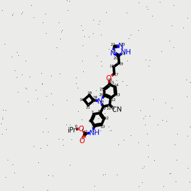 CC(C)OC(=O)Nc1ccc(C2C(C#N)c3ccc(OCCCc4ncn[nH]4)cc3N2C2CCC2)cc1